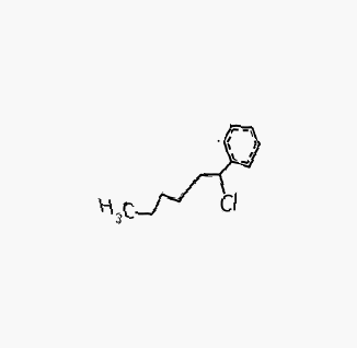 CCCCCC(Cl)c1[c]cccc1